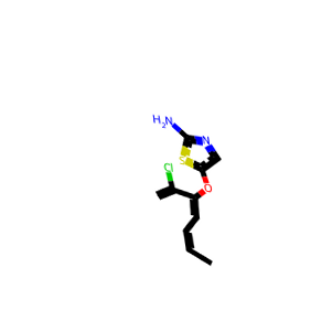 C=C(Cl)/C(=C\C=C/C)Oc1cnc(N)s1